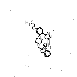 CCOc1ccc(-c2nn[nH]n2)c(N2CCN(Cc3nc4ccccc4n3C)CC2)c1